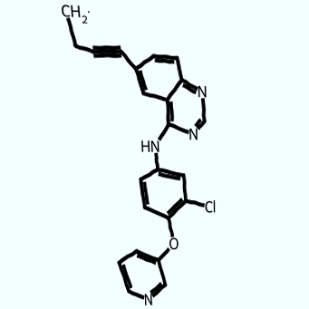 [CH2]CC#Cc1ccc2ncnc(Nc3ccc(Oc4cccnc4)c(Cl)c3)c2c1